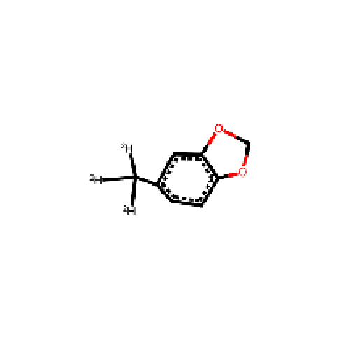 [2H]C([2H])([2H])c1ccc2c(c1)OCO2